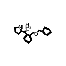 C=C(c1ccccc1COCc1ccccc1)C1CCCN1